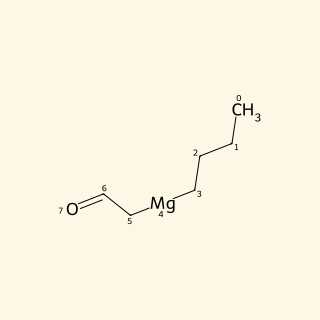 CCC[CH2][Mg][CH2]C=O